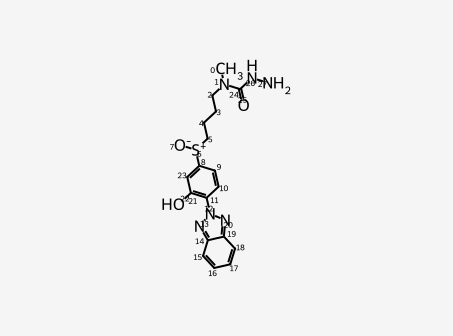 CN(CCCC[S+]([O-])c1ccc(-n2nc3ccccc3n2)c(O)c1)C(=O)NN